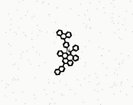 c1ccc(-c2c(-c3ccccc3)n(-c3ccc(-c4cc5ccccc5c5ccccc45)cc3)c3c4ccccc4c4cc(-c5ccc6ccccc6c5)c5ccccc5c4c23)cc1